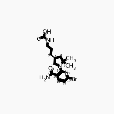 CC1(C)C[C@H](CCCNC(=O)O)CN1c1nc(Br)ccc1C(N)=O